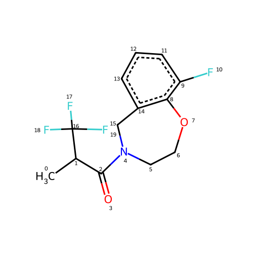 CC(C(=O)N1CCOc2c(F)cccc2C1)C(F)(F)F